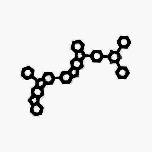 c1ccc(-c2nc(-c3ccccc3)nc(-c3ccc(-n4c5ccccc5c5cc6c(cc54)oc4ccc(-c5ccc7c(c5)c5cc8c(cc5n7-c5ccccc5)oc5ccccc58)cc46)cc3)n2)cc1